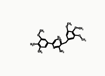 C/C=C(\N=C(\N)C(=O)Cc1cc(OC)c(OC)c(OC)c1)c1cc(C)c(C)c(OC)c1